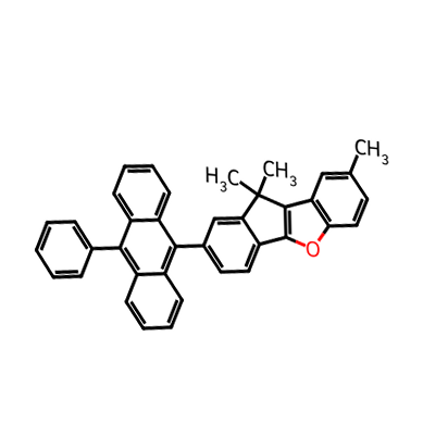 Cc1ccc2oc3c(c2c1)C(C)(C)c1cc(-c2c4ccccc4c(-c4ccccc4)c4ccccc24)ccc1-3